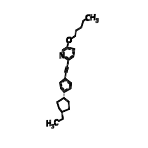 CCCCCOc1ccc(C#Cc2ccc([C@H]3CC[C@H](CC)CC3)cc2)nc1